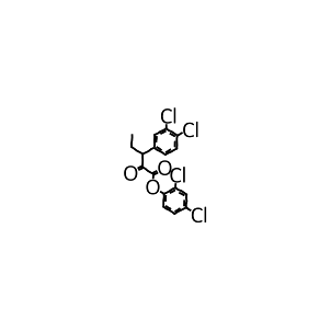 CCC(C(=O)C(=O)Oc1ccc(Cl)cc1Cl)c1ccc(Cl)c(Cl)c1